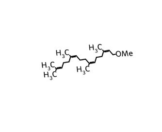 COCC=C(C)CCC=C(C)CCC=C(C)CCC=C(C)C